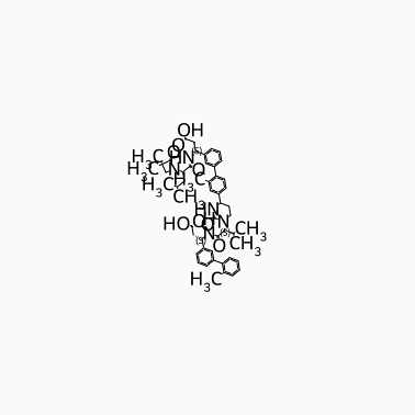 Cc1ccccc1-c1cccc([C@H](CC(=O)O)NC(=O)[C@H](C(C)C)N2CCC(c3ccc(-c4cccc([C@H](CC(=O)O)NC(=O)C(CC(C)C)N5CC(C)(C)C5=O)c4)c(C)c3)NC2=O)c1